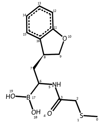 CSCC(=O)NC(C[C@@H]1COc2ccccc21)B(O)O